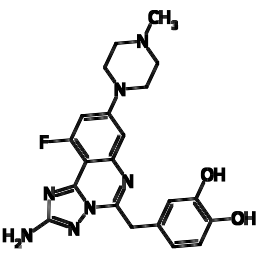 CN1CCN(c2cc(F)c3c(c2)nc(Cc2ccc(O)c(O)c2)n2nc(N)nc32)CC1